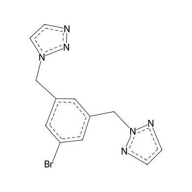 Brc1cc(Cn2ccnn2)cc(Cn2nccn2)c1